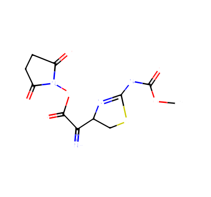 CC(C)(C)OC(=O)NC1=NC(C(=N)C(=O)ON2C(=O)CCC2=O)CS1